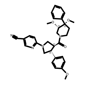 COc1ccc([C@@H]2CN(c3ccc(C#N)cn3)C[C@H]2C(=O)N2CC[C@](OC)(c3ccccc3)[C@@H](OC)C2)cc1